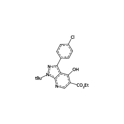 CCOC(=O)c1cnc2c(c(-c3ccc(Cl)cc3)nn2C(C)(C)C)c1O